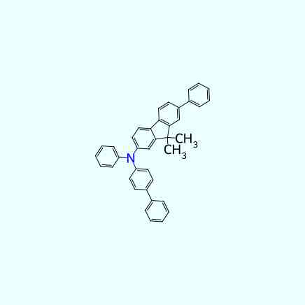 CC1(C)c2cc(-c3ccccc3)ccc2-c2ccc(N(c3ccccc3)c3ccc(-c4ccccc4)cc3)cc21